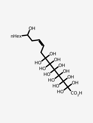 CCCCCCC(O)C/C=C\CC(O)(O)C(O)(O)C(O)(O)C(O)(O)C(O)(O)C(O)(O)C(=O)O